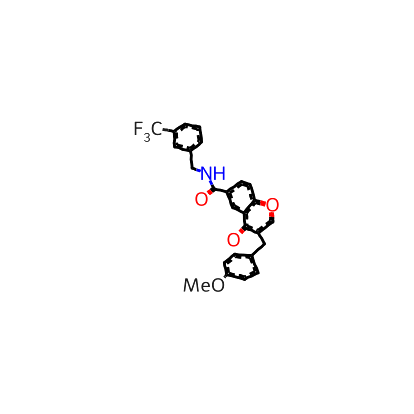 COc1ccc(Cc2coc3ccc(C(=O)NCc4cccc(C(F)(F)F)c4)cc3c2=O)cc1